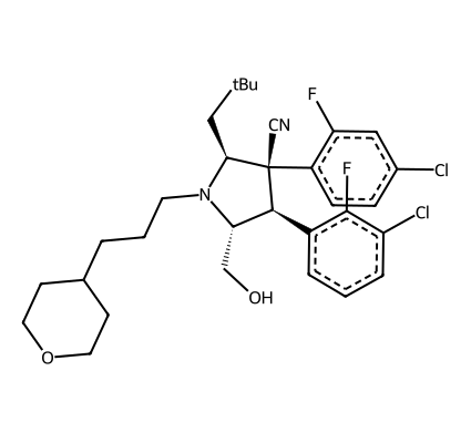 CC(C)(C)C[C@@H]1N(CCCC2CCOCC2)[C@@H](CO)[C@H](c2cccc(Cl)c2F)[C@@]1(C#N)c1ccc(Cl)cc1F